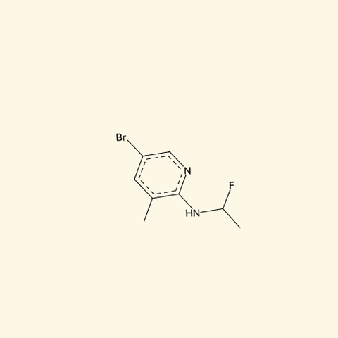 Cc1cc(Br)cnc1NC(C)F